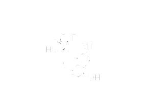 C[S+](C)c1ccc(O)c2ccc(O)cc12.O=S(=O)(O)C(F)(F)F